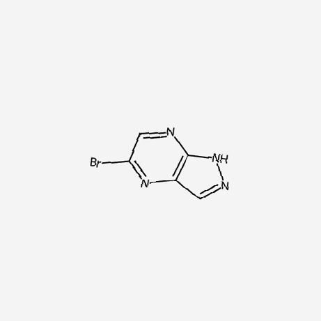 Brc1cnc2[nH]ncc2n1